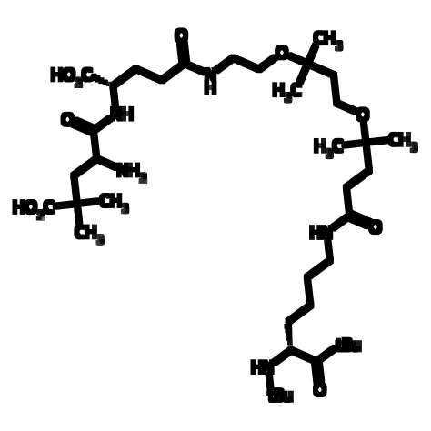 CC(C)(C)N[C@H](CCCCNC(=O)CCC(C)(C)OCCC(C)(C)OCCNC(=O)CC[C@H](NC(=O)C(N)CC(C)(C)C(=O)O)C(=O)O)C(=O)C(C)(C)C